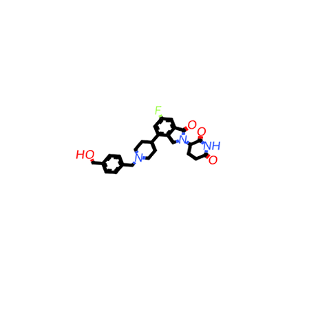 O=C1CCC(N2Cc3c(cc(F)cc3C3CCN(Cc4ccc(CO)cc4)CC3)C2=O)C(=O)N1